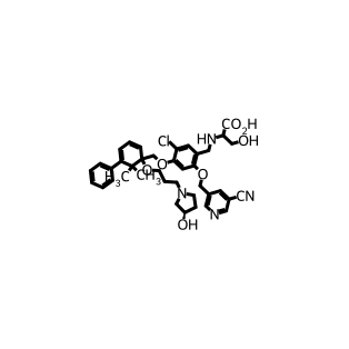 CC1(C)C(c2ccccc2)=CC=CC1(COc1cc(OCc2cncc(C#N)c2)c(CNC(CO)C(=O)O)cc1Cl)OCCCN1CC[C@@H](O)C1